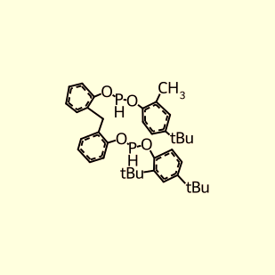 Cc1cc(C(C)(C)C)ccc1OPOc1ccccc1Cc1ccccc1OPOc1ccc(C(C)(C)C)cc1C(C)(C)C